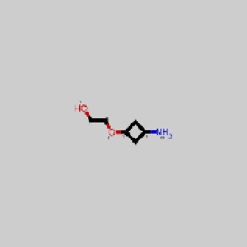 NC1CC(OCCO)C1